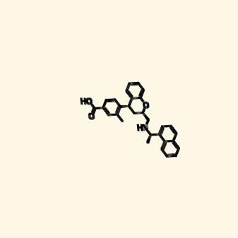 Cc1cc(C(=O)O)ccc1[C@@H]1C[C@H](CN[C@H](C)c2cccc3ccccc23)Oc2ccccc21